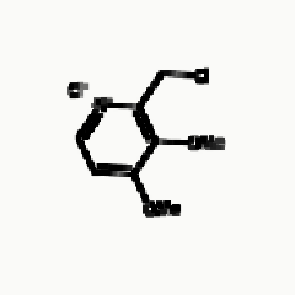 COC1=CC=[N+]C(CCl)=C1OC.[Cl-]